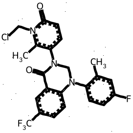 Cc1cc(F)ccc1N1CN(c2ccc(=O)n(CCl)c2C)C(=O)c2cc(C(F)(F)F)ccc21